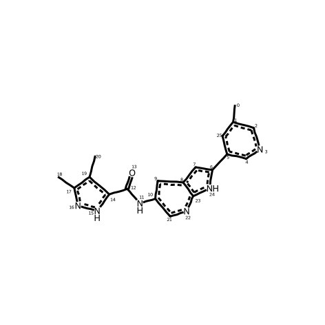 Cc1cncc(-c2cc3cc(NC(=O)c4[nH]nc(C)c4C)cnc3[nH]2)c1